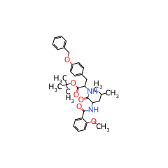 COc1ccccc1C(=O)NC(CC(C)C)C(=O)NC(Cc1ccc(OCc2ccccc2)cc1)C(=O)OC(C)(C)C